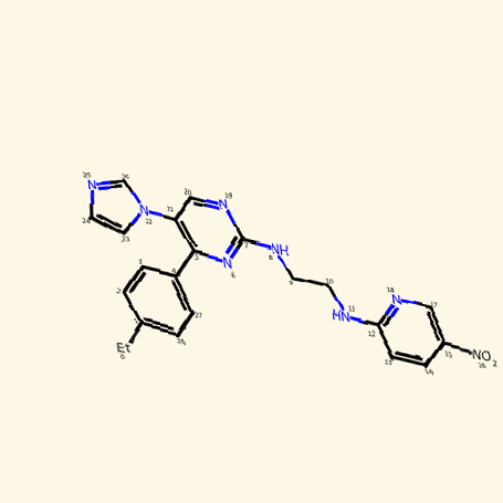 CCc1ccc(-c2nc(NCCNc3ccc([N+](=O)[O-])cn3)ncc2-n2ccnc2)cc1